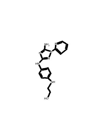 Nc1nc(Nc2ccc(NCCO)cc2)nn1-c1ccccn1